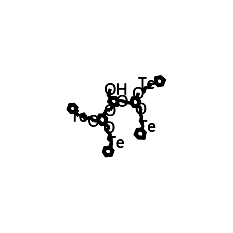 OCc1cc(OCc2cc(OCCC[Te]c3ccccc3)cc(OCCC[Te]c3ccccc3)c2)cc(OCc2cc(OCCC[Te]c3ccccc3)cc(OCCC[Te]c3ccccc3)c2)c1